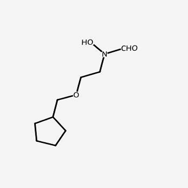 O=CN(O)CCOCC1CCCC1